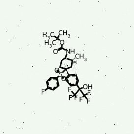 C[C@@H]1C[C@](c2ccc(C(O)(C(F)(F)F)C(F)(F)F)cc2)(S(=O)(=O)c2ccc(F)cc2)CCC1NC(=O)OC(C)(C)C